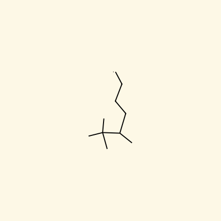 [CH2]CCCC(C)C(C)(C)C